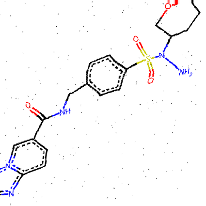 NN(C1CCCOC1)S(=O)(=O)c1ccc(CNC(=O)c2ccc3nccn3c2)cc1